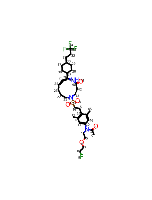 CC(=O)N(CCOCCF)c1cc(C)c(CCS(=O)(=O)N2CCCC=C=C(C3CCC(CCC(F)(F)F)CC3)NC(=O)CC2)c(C)c1